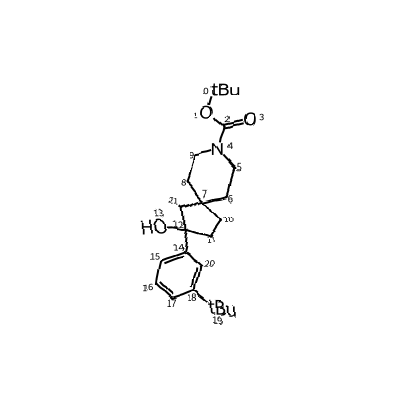 CC(C)(C)OC(=O)N1CCC2(CC1)CCC(O)(c1cccc(C(C)(C)C)c1)C2